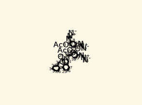 CC(=O)O[C@@H]1[C@@H](OC(C)=O)[C@H](N=[N+]=[N-])C[C@H](N=[N+]=[N-])[C@H]1O[C@H]1O[C@H]([C@@H](C)N(Cc2ccccc2)C(=O)OCc2ccccc2)CCC1N=[N+]=[N-]